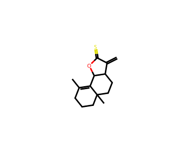 C=C1C(=S)OC2C3=C(C)CCCC3(C)CCC12